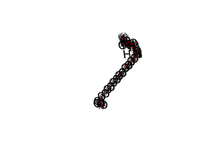 O=C(CCOCCOCCOCCOCCOCCOCCOCCOCCOCCOCCOCCOCCn1cc(-c2cnc(C(=O)N3CCC4(CC3)NC(=O)N(Cc3ccccc3)C4=O)nc2)nn1)ON1C(=O)CCC1=O